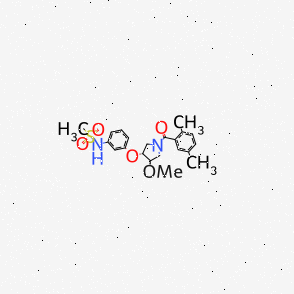 CO[C@@H]1CN(C(=O)c2cc(C)ccc2C)C[C@H]1Oc1cccc(NS(C)(=O)=O)c1